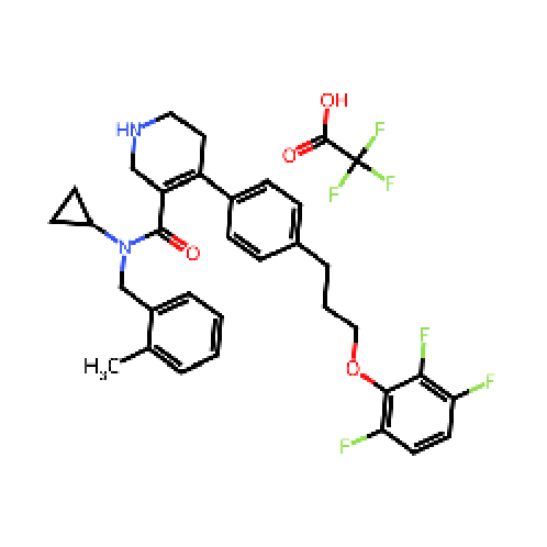 Cc1ccccc1CN(C(=O)C1=C(c2ccc(CCCOc3c(F)ccc(F)c3F)cc2)CCNC1)C1CC1.O=C(O)C(F)(F)F